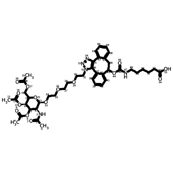 CC(=O)N[C@H]1C(OC(C)=O)[C@@H](OC(C)=O)C(COC(C)=O)O[C@H]1OCCOCCOCCn1nnc2c1-c1ccccc1C(OC(=O)NCCCCCC(=O)O)Cc1ccccc1-2